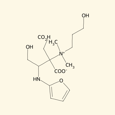 C[N+](C)(CCCO)C(CC(=O)O)(C(=O)[O-])C(CO)Nc1ccco1